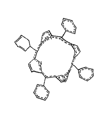 C1=CCC(c2c3nc(c(-c4ccccc4)c4ccc([nH]4)c(-c4ccccc4)c4nc(c(-c5ccccc5)c5ccc2[nH]5)C=C4)C=C3)C=C1